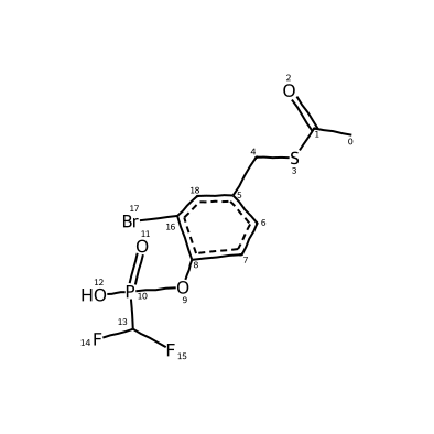 CC(=O)SCc1ccc(OP(=O)(O)C(F)F)c(Br)c1